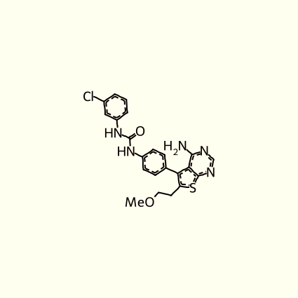 COCCc1sc2ncnc(N)c2c1-c1ccc(NC(=O)Nc2cccc(Cl)c2)cc1